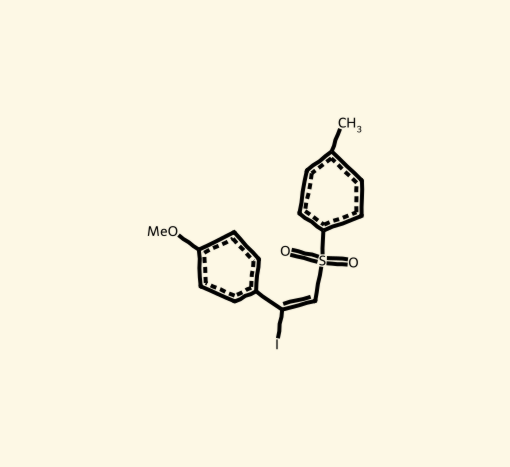 COc1ccc(/C(I)=C\S(=O)(=O)c2ccc(C)cc2)cc1